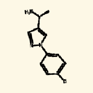 C[C@H](N)c1cnn(-c2ccc(Cl)cc2)c1